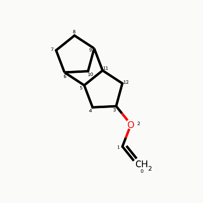 C=COC1CC2C3CCC(C3)C2C1